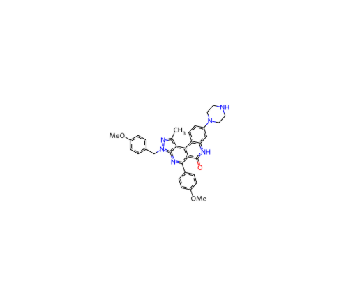 COc1ccc(Cn2nc(C)c3c4c(c(-c5ccc(OC)cc5)nc32)c(=O)[nH]c2cc(N3CCNCC3)ccc24)cc1